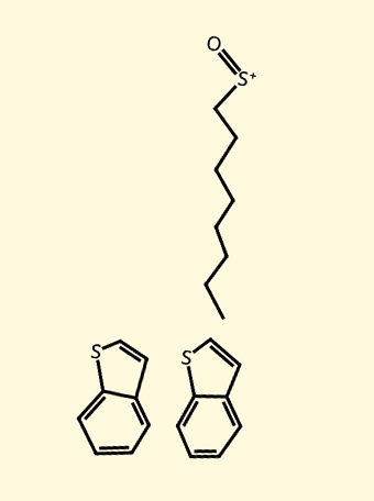 CCCCCCCC[S+]=O.c1ccc2sccc2c1.c1ccc2sccc2c1